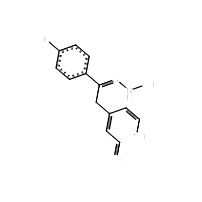 C=C/C=C(\C=C/N)CC(=NNC)c1ccc(F)cc1